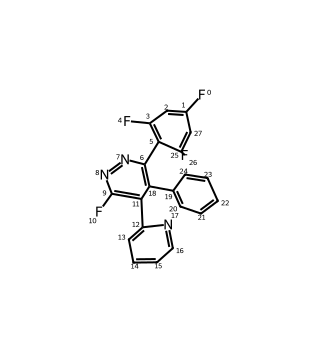 Fc1cc(F)c(-c2nnc(F)c(-c3ccccn3)c2-c2ccccc2)c(F)c1